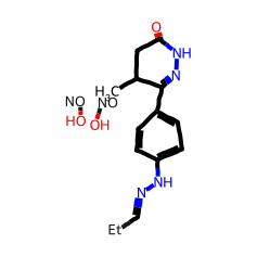 CCC=NNc1ccc(C2=NNC(=O)CC2C)cc1.O=NO.O=NO